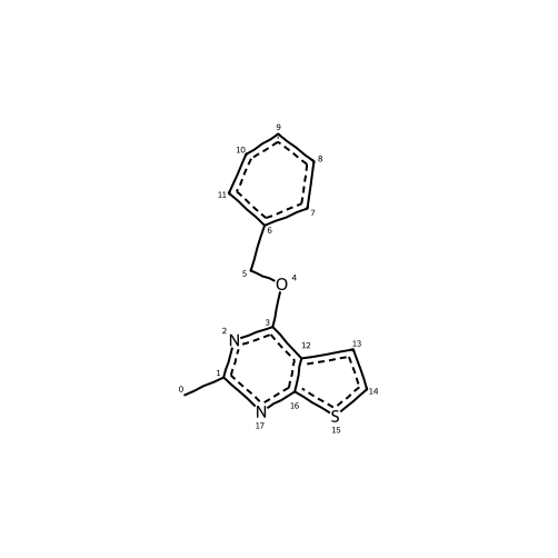 Cc1nc(OCc2cc[c]cc2)c2ccsc2n1